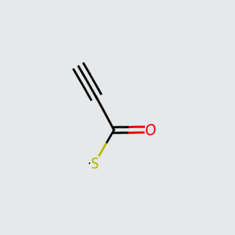 C#CC(=O)[S]